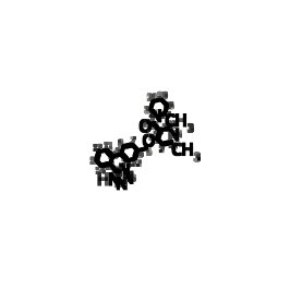 Cc1cc(OCc2ccc(-c3ccccc3-c3nnn[nH]3)cc2)c(C(=O)N2CCCCC2)c(C)n1